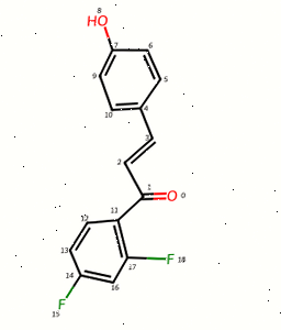 O=C(/C=C/c1ccc(O)cc1)c1ccc(F)cc1F